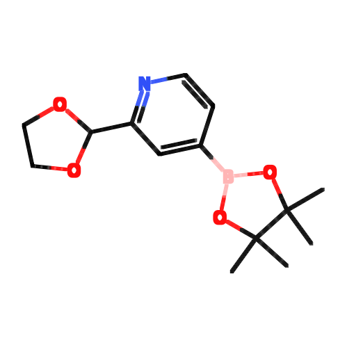 CC1(C)OB(c2ccnc(C3OCCO3)c2)OC1(C)C